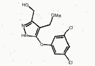 COCc1c(CO)n[nH]c1Oc1cc(Cl)cc(Cl)c1